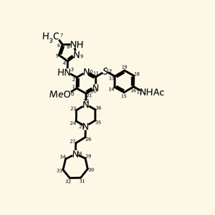 COc1c(Nc2cc(C)[nH]n2)nc(Sc2ccc(NC(C)=O)cc2)nc1N1CCN(CCN2CCCCCC2)CC1